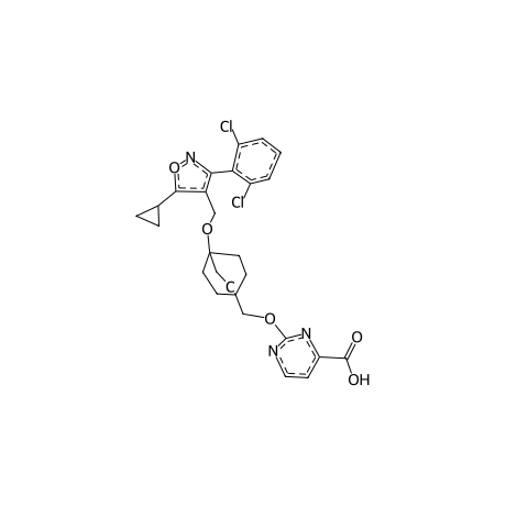 O=C(O)c1ccnc(OCC23CCC(OCc4c(-c5c(Cl)cccc5Cl)noc4C4CC4)(CC2)CC3)n1